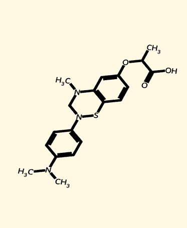 CC(Oc1ccc2c(c1)N(C)CN(c1ccc(N(C)C)cc1)S2)C(=O)O